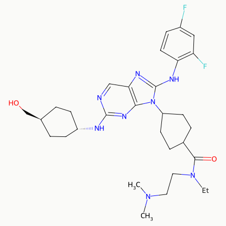 CCN(CCN(C)C)C(=O)C1CCC(n2c(Nc3ccc(F)cc3F)nc3cnc(N[C@H]4CC[C@H](CO)CC4)nc32)CC1